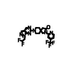 O=C1CC2(CCN(c3ncc4cnn(CC(F)F)c4n3)CC2)CN1c1cc(C(F)(F)F)ccn1